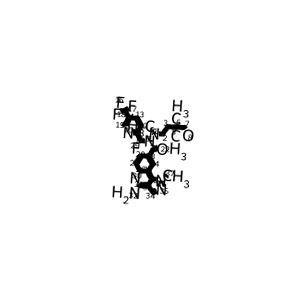 CN(CCC(C)(C)C=O)N(Cc1ccc(C(F)(F)F)cn1)C(=O)c1cc2c(cc1F)nc(N)c1cnn(C)c12